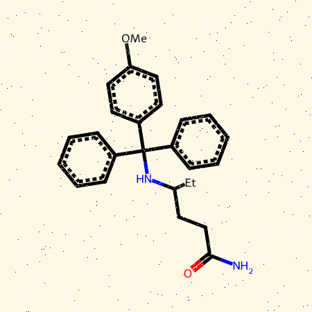 CCC(CCC(N)=O)NC(c1ccccc1)(c1ccccc1)c1ccc(OC)cc1